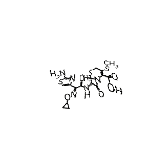 CSC1=C(C(=O)O)N2C(=O)[C@@H](NC(=O)C(=NOC3CC3)c3csc(N)n3)[C@@H]2SC1